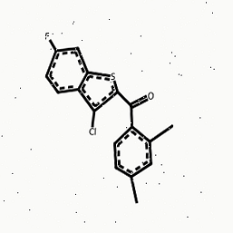 Cc1ccc(C(=O)c2sc3cc(F)ccc3c2Cl)c(C)c1